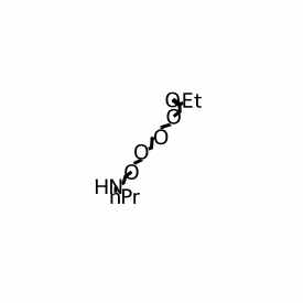 CCCNCCOCCOCCOCCOCC(=O)CC